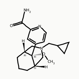 CO[C@@]1(c2ccnc(C(N)=O)c2)[C@@H]2CCC[C@H]1CN(CC1CC1)C2